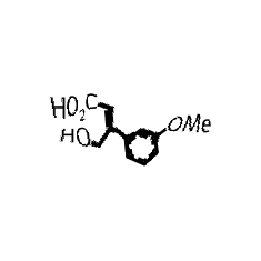 COc1cccc(C(=CC(=O)O)CO)c1